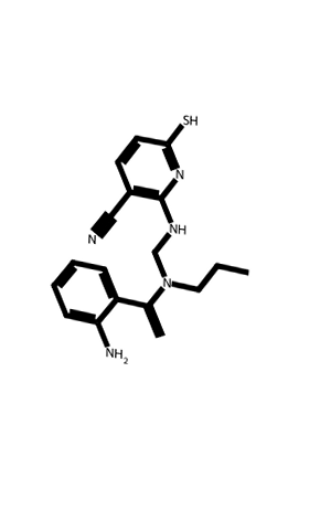 C=C(c1ccccc1N)N(CCC)CNc1nc(S)ccc1C#N